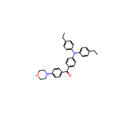 CCc1ccc(N(c2ccc(CC)cc2)c2ccc(C(=O)c3ccc(N4CCOCC4)cc3)cc2)cc1